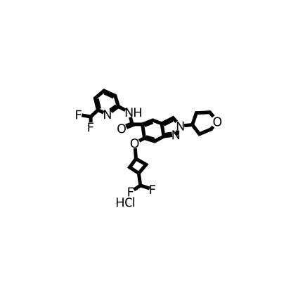 Cl.O=C(Nc1cccc(C(F)F)n1)c1cc2cn(C3CCOCC3)nc2cc1OC1CC(C(F)F)C1